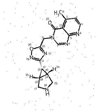 Cc1ccnc2ncn(Cc3nc([C@@H]4[C@@H]5CNC[C@@H]54)no3)c(=O)c12